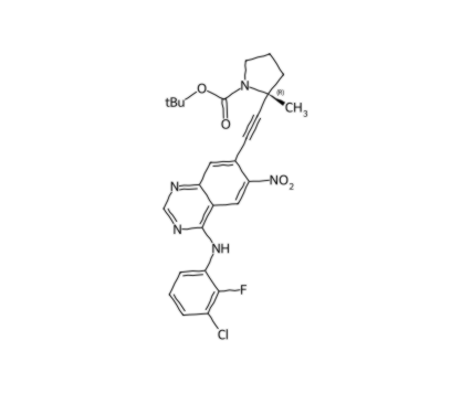 CC(C)(C)OC(=O)N1CCC[C@]1(C)C#Cc1cc2ncnc(Nc3cccc(Cl)c3F)c2cc1[N+](=O)[O-]